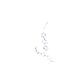 CC(C)CCCCOc1ccc(-c2cnc(-c3ccc(C[C@H](NC(=O)c4ccc(C(C)(C)C)s4)C(=O)N4CC[C@H](C(=O)O)C4)cc3)nc2)cc1